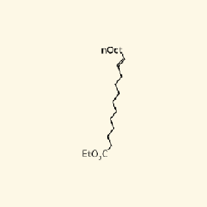 CCCCCCCCC=CCCCCCCCCCC(=O)OCC